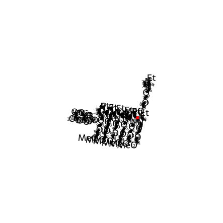 CCn1cc[n+](COCCOCCOC)c1.CCn1cc[n+](COCCOCCOC)c1.CCn1cc[n+](COCCOCCOC)c1.CCn1cc[n+](COCCOCCOC)c1.CCn1cc[n+](COCCOCCOC)c1.CCn1cc[n+](COCCOCCOC)c1.CCn1cc[n+](COCCOCCOC)c1.O=C([O-])C(=O)[O-].O=C([O-])C(=O)[O-].[O-]B([O-])[O-]